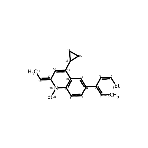 C/C=C(\C=C/CC)c1ccc2c(c1)C(C1CC1)=C/C(=C\C)N2CC